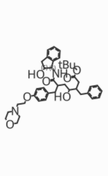 CC(C)(C)OC(=O)CC(Cc1ccccc1)C(O)CC(Cc1ccc(OCCN2CCOCC2)cc1)C(=O)N[C@H]1c2ccccc2C[C@@H]1O